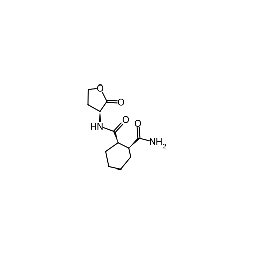 NC(=O)[C@H]1CCCC[C@H]1C(=O)N[C@H]1CCOC1=O